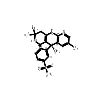 CC1(C)CC2=C(C(=O)N1)[C@@](C)(c1cccc(S(C)(=O)=O)c1)c1cc(C(F)(F)F)cnc1N2